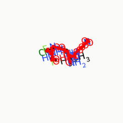 CC(C)[C@H](NC(=O)CCOCCOCCOCCOCCN1C(=O)C=CC1=O)C(=O)N[C@@H](CCCNC(N)=O)C(=O)Nc1ccc(COC(=O)NCCOc2cnc3ccc(-c4[nH]c(CNc5ccc(F)c(C(=O)O)c5)nc4-c4ccc(F)c(Cl)c4)cc3c2)cc1